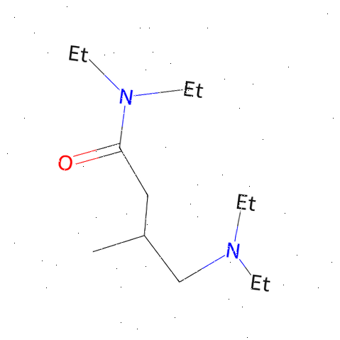 CCN(CC)CC(C)CC(=O)N(CC)CC